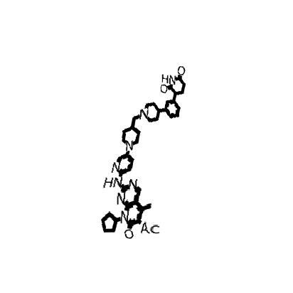 CC(=O)c1c(C)c2cnc(Nc3ccc(N4CCC(CN5CCC(c6cccc(C7CCC(=O)NC7=O)c6)CC5)CC4)cn3)nc2n(C2CCCC2)c1=O